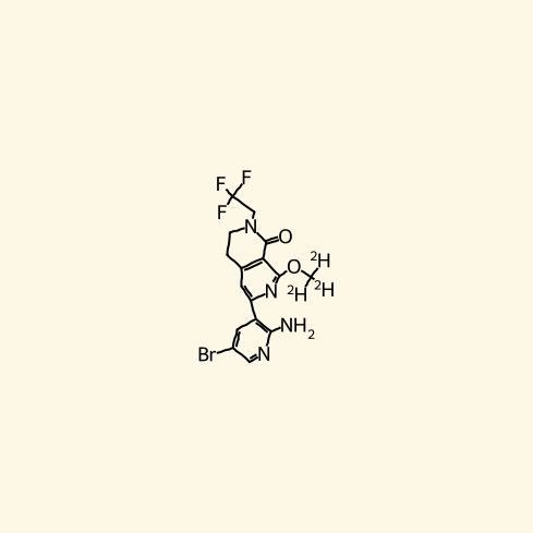 [2H]C([2H])([2H])Oc1nc(-c2cc(Br)cnc2N)cc2c1C(=O)N(CC(F)(F)F)CC2